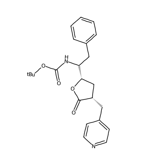 CC(C)(C)OC(=O)NC(Cc1ccccc1)[C@@H]1C[C@H](Cc2ccncc2)C(=O)O1